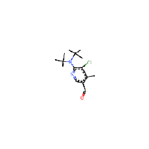 Cc1c(C=O)cnc(N(C(C)(C)C)C(C)(C)C)c1Cl